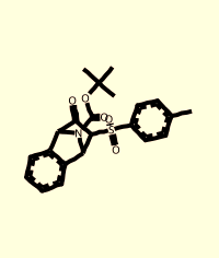 Cc1ccc(S(=O)(=O)C2C(=O)C3c4ccccc4C2N3C(=O)OC(C)(C)C)cc1